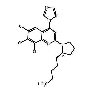 O=C(O)CCCC[C@@H]1CCCN1c1cc(-n2cncn2)c2cc(Br)c(Cl)c(Cl)c2n1